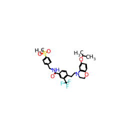 CC(C)Oc1ccc2c(c1)N(CCc1ccc(C(=O)NCc3ccc(S(C)(=O)=O)cc3)cc1C(F)(F)F)CCO2